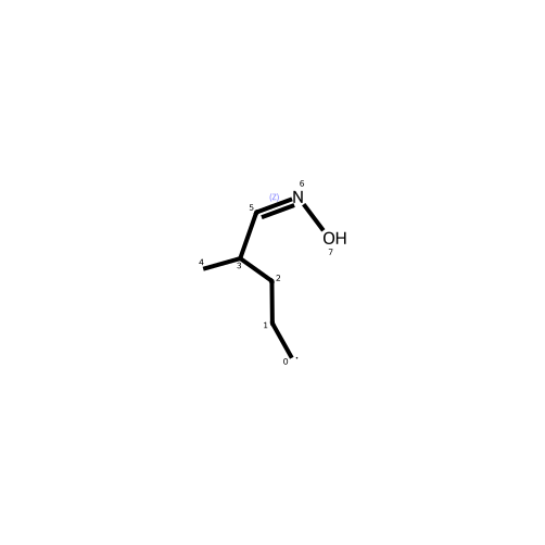 [CH2]CCC(C)/C=N\O